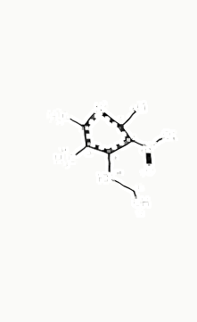 Cc1nc(Cl)c([N+](=O)[O-])c(NCO)c1C